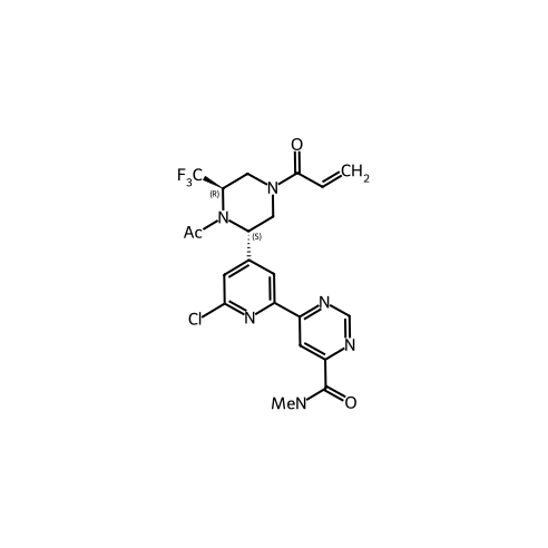 C=CC(=O)N1C[C@H](c2cc(Cl)nc(-c3cc(C(=O)NC)ncn3)c2)N(C(C)=O)[C@@H](C(F)(F)F)C1